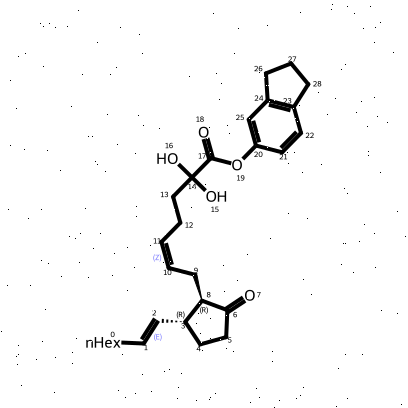 CCCCCC/C=C/[C@H]1CCC(=O)[C@@H]1C/C=C\CCC(O)(O)C(=O)Oc1ccc2c(c1)CCC2